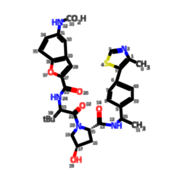 Cc1ncsc1-c1ccc(C(C)NC(=O)[C@@H]2C[C@@H](O)CN2C(=O)C(NC(=O)c2cc3cc(NC(=O)O)ccc3o2)C(C)(C)C)cc1